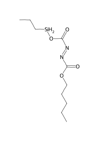 CCCCCOC(=O)N=NC(=O)O[SiH2]CCC